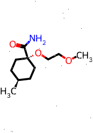 COCCO[C@]1(C(N)=O)CC[C@@H](C)CC1